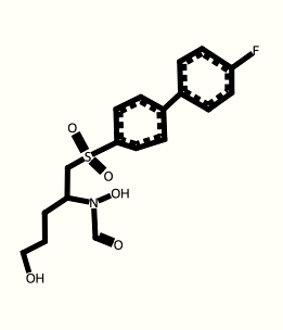 O=CN(O)C(CCCO)CS(=O)(=O)c1ccc(-c2ccc(F)cc2)cc1